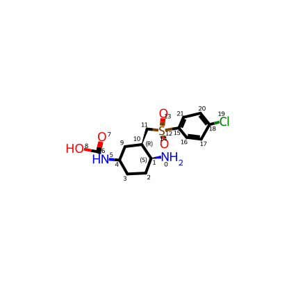 N[C@H]1CCC(NC(=O)O)C[C@H]1CS(=O)(=O)c1ccc(Cl)cc1